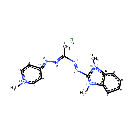 CC(N=Nc1n(C)c2ccccc2[n+]1C)=NN=c1ccn(C)cc1.[Cl-]